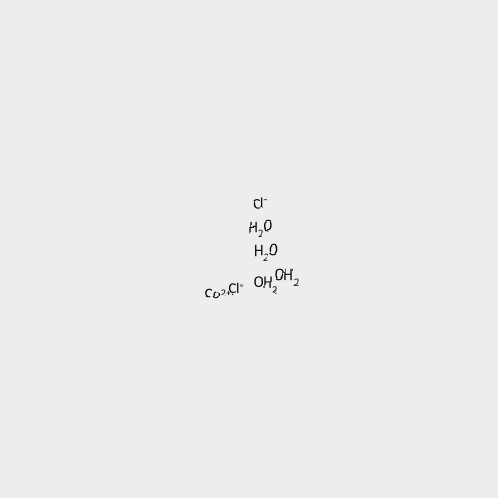 O.O.O.O.[Cl-].[Cl-].[Co+2]